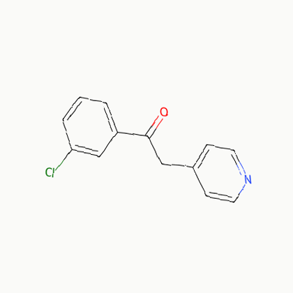 O=C(Cc1ccncc1)c1cccc(Cl)c1